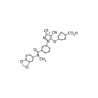 CN(C(=O)c1cccc(-n2nc(C(F)(F)F)c(C#N)c2Oc2ccc(C(=O)O)cc2)c1)c1ccc2c(c1)OCO2